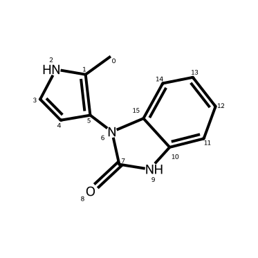 Cc1[nH]ccc1-n1c(=O)[nH]c2ccccc21